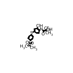 CN(C)S(=O)(=O)c1ccc(Sc2ccc(NC(=O)[C@@](C)(O)C(F)(F)F)c(Cl)c2)cc1